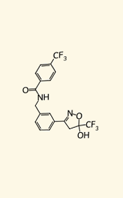 O=C(NCc1cccc(C2=NOC(O)(C(F)(F)F)C2)c1)c1ccc(C(F)(F)F)cc1